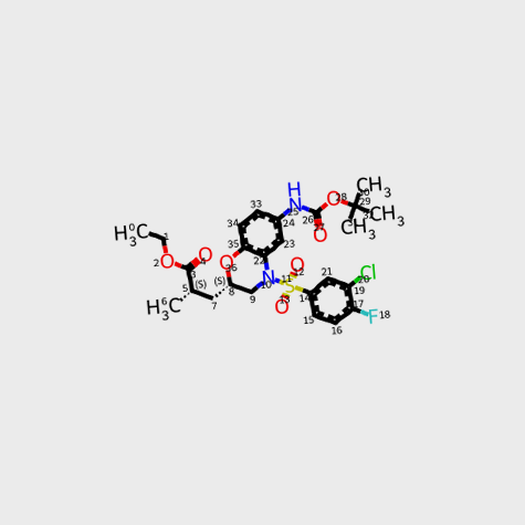 CCOC(=O)[C@@H](C)C[C@H]1CN(S(=O)(=O)c2ccc(F)c(Cl)c2)c2cc(NC(=O)OC(C)(C)C)ccc2O1